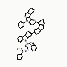 C=C(/N=C(\N=C(/C)n1c2ccccc2c2ccc(-c3ccc4c(c3)-c3c(cccc3-c3ccc5c(c3)c3c6ccccc6ccc3n5-c3ccccc3)C4)cc21)c1ccccc1)c1ccccc1